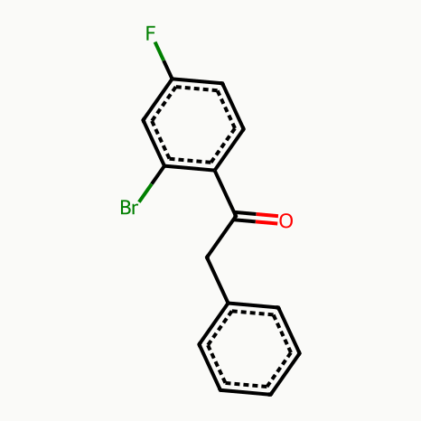 O=C(Cc1ccccc1)c1ccc(F)cc1Br